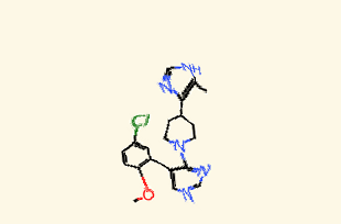 COc1ccc(Cl)cc1-c1cncnc1N1CCC(c2nc[nH]c2C)CC1